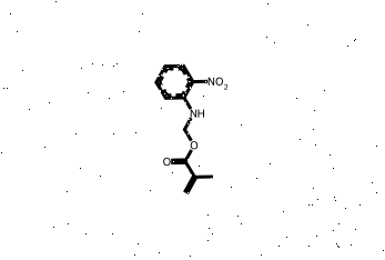 C=C(C)C(=O)OCNc1ccccc1[N+](=O)[O-]